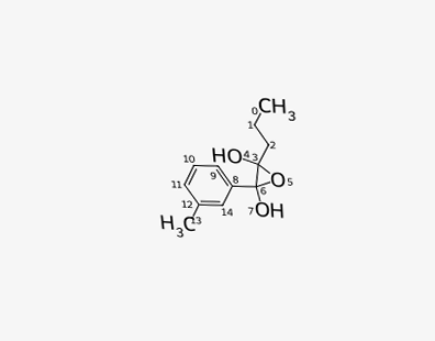 CCCC1(O)OC1(O)c1cccc(C)c1